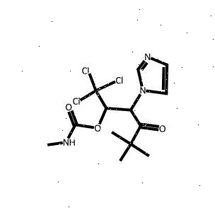 CNC(=O)OC(C(C(=O)C(C)(C)C)n1ccnc1)C(Cl)(Cl)Cl